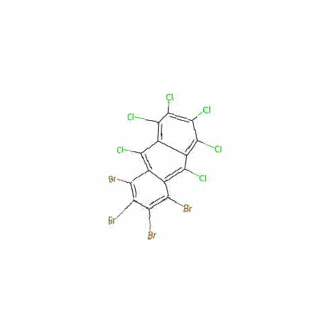 Clc1c(Cl)c(Cl)c2c(Cl)c3c(Br)c(Br)c(Br)c(Br)c3c(Cl)c2c1Cl